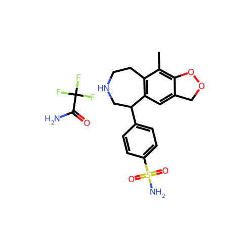 Cc1c2c(cc3c1OOC3)C(c1ccc(S(N)(=O)=O)cc1)CNCC2.NC(=O)C(F)(F)F